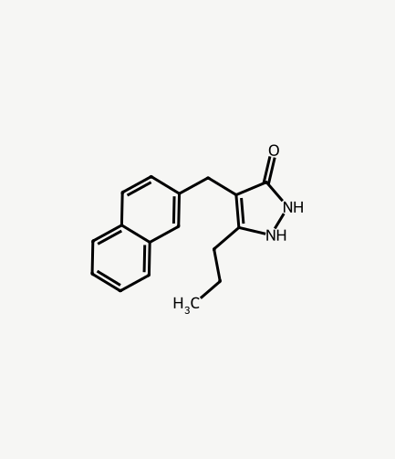 CCCc1[nH][nH]c(=O)c1Cc1ccc2ccccc2c1